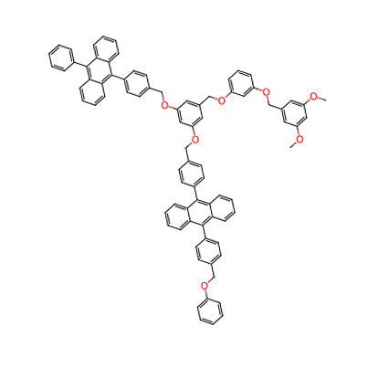 COc1cc(COc2cccc(OCc3cc(OCc4ccc(-c5c6ccccc6c(-c6ccccc6)c6ccccc56)cc4)cc(OCc4ccc(-c5c6ccccc6c(-c6ccc(COc7ccccc7)cc6)c6ccccc56)cc4)c3)c2)cc(OC)c1